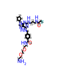 NCCOCCOCCNC(=O)c1ccc(CNc2nc(NCCCNC(=O)CF)nc3c2ncn3C2CCCC2)cc1